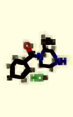 CCCCC1CNCCN1C(=O)c1ccccc1.Cl